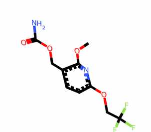 COc1nc(OCC(F)(F)F)ccc1COC(N)=O